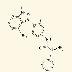 Cc1cc(NC(=O)[C@@H](N)c2ccccc2)ccc1-c1cn(C)c2ncnc(N)c12